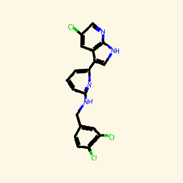 Clc1cnc2[nH]cc(-c3cccc(NCc4ccc(Cl)c(Cl)c4)n3)c2c1